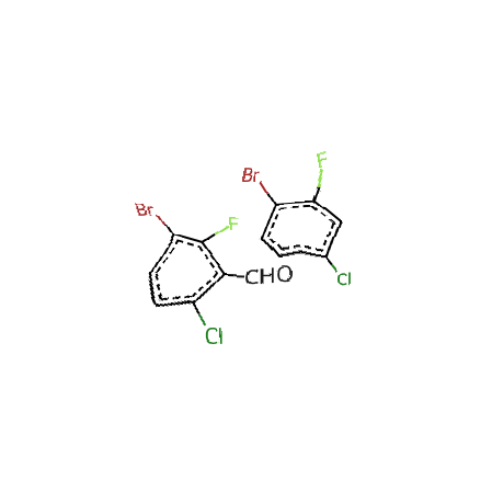 Fc1cc(Cl)ccc1Br.O=Cc1c(Cl)ccc(Br)c1F